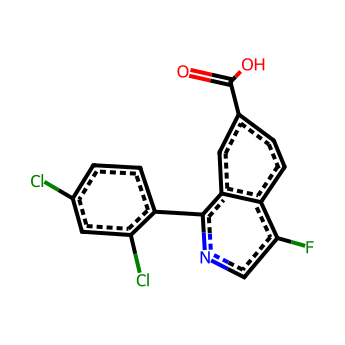 O=C(O)c1ccc2c(F)cnc(-c3ccc(Cl)cc3Cl)c2c1